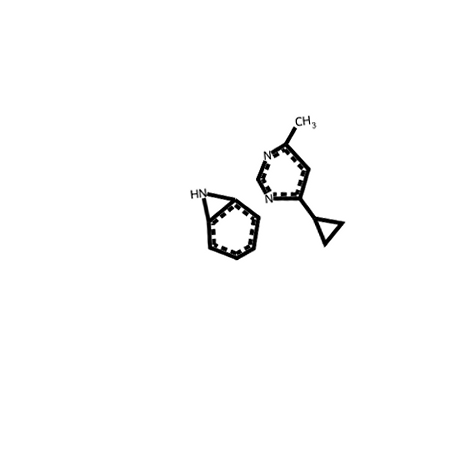 Cc1cc(C2CC2)ncn1.c1ccc2c(c1)N2